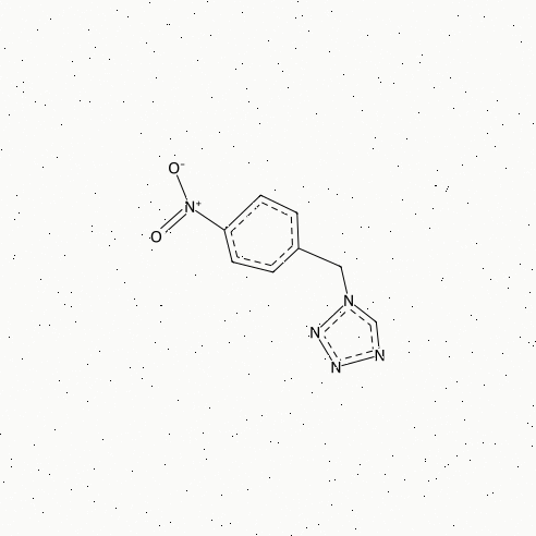 O=[N+]([O-])c1ccc(Cn2cnnn2)cc1